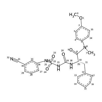 COc1ccc(N(C)C(=O)[C@H](Cc2ccccc2)NC(=O)NS(=O)(=O)Nc2cccc(C#N)c2)cc1